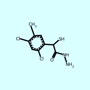 Cc1cc(C(S)C(=O)NN)c(Cl)cc1Cl